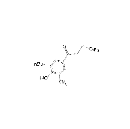 CCCCc1cc(C(=O)CCOCC(C)C)cc(C)c1O